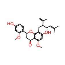 C=C(C)C(CC=C(C)C)Cc1c(O)cc(OC)c2c1OC(c1ccc(O)cc1OC)CC2=O